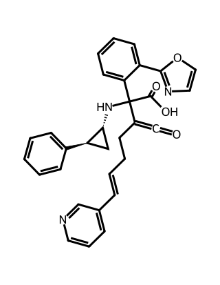 O=C=C(CCC=Cc1cccnc1)C(N[C@@H]1C[C@H]1c1ccccc1)(C(=O)O)c1ccccc1-c1ncco1